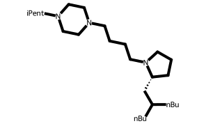 CCCCC(CCCC)C[C@H]1CCCN1CCCCN1CCN(C(C)CCC)CC1